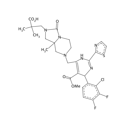 COC(=O)C1=C(CN2CCN3C(=O)N(CC(C)(C)C(=O)O)CC3(C)C2)NC(c2nccs2)=NC1c1ccc(F)c(F)c1Cl